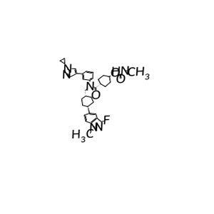 CNC(=O)O[C@H]1CC[C@H](C(=O)N(C[C@H]2CC[C@H](c3ccc4c(c3)c(F)nn4C)CC2)c2cccc(-c3cnn(C4CC4)c3)c2)CC1